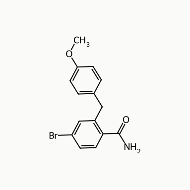 COc1ccc(Cc2cc(Br)ccc2C(N)=O)cc1